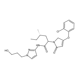 CC[C@H](C)CC(C(=O)Nc1ccn(CCCO)n1)N1CC(Oc2ccccc2Cl)=CC1=O